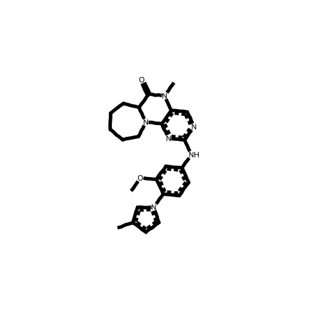 COc1cc(Nc2ncc3c(n2)N2CCCCCC2C(=O)N3C)ccc1-n1ccc(C)c1